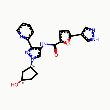 O=C(Nc1cn([C@H]2CC[C@@H](O)C2)nc1-c1ccccn1)c1ccc(-c2cn[nH]c2)o1